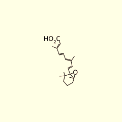 CC(C=CC12OC1(C)CCCC2(C)C)=CC=CC(C)=CC(=O)O